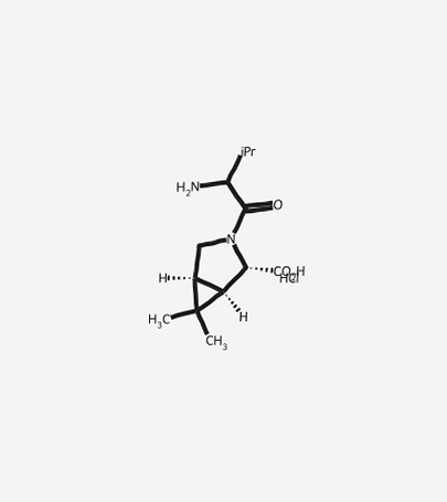 CC(C)C(N)C(=O)N1C[C@H]2[C@@H]([C@H]1C(=O)O)C2(C)C.Cl